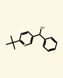 CC(C)(C)c1ccc(C(O)c2ccccc2)cn1